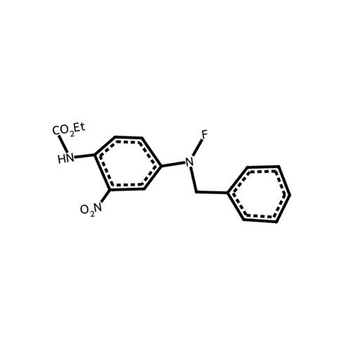 CCOC(=O)Nc1ccc(N(F)Cc2ccccc2)cc1[N+](=O)[O-]